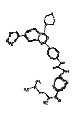 CN(C)CCN(C)C(=O)c1ccc(NC(=O)Nc2ccc(-c3nc(N4CCOCC4)c4ccc(-c5cncnc5)cc4n3)cc2)cc1